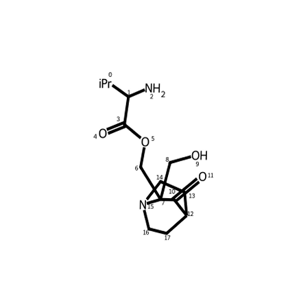 CC(C)C(N)C(=O)OCC1(CO)C(=O)C2CCN1CC2